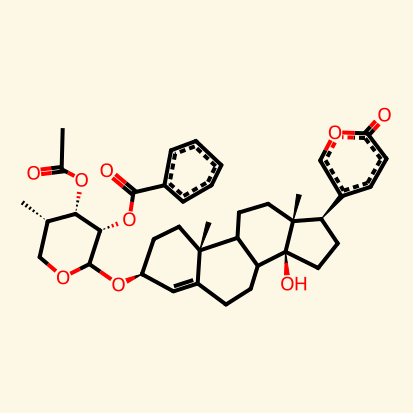 CC(=O)O[C@@H]1[C@H](OC(=O)c2ccccc2)C(O[C@@H]2C=C3CCC4C(CC[C@]5(C)[C@@H](c6ccc(=O)oc6)CC[C@]45O)[C@@]3(C)CC2)OC[C@@H]1C